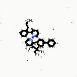 C=CCc1ccccc1-c1cccc[n+]1-[n+]1ccccc1-c1ccc(-c2ccccc2)cc1C(C)(CC)CC